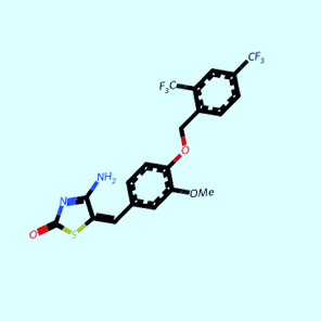 COc1cc(C=C2SC(=O)N=C2N)ccc1OCc1ccc(C(F)(F)F)cc1C(F)(F)F